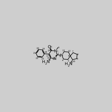 Cn1c(N2CCC3(CCC[C@H]3N)CC2)nc(N)c(-c2ccccc2)c1=O